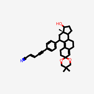 CC1(C)COC2(C=C3CCC4C(=C3CC2)C(c2ccc(C#C/C=C/C#N)cc2)C[C@]2(C)C(O)CCC42)OC1